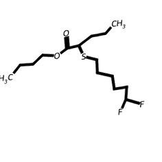 CCCCOC(=O)C(CCC)SCCCCCC(F)F